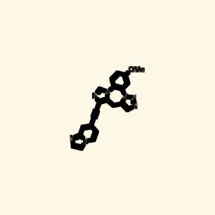 COc1ccc2c(c1)-n1nncc1Cc1c(C#Cc3ccn4ccnc4c3)ncn1-2